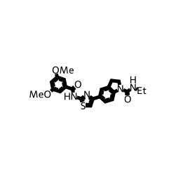 CCNC(=O)N1CCc2cc(-c3csc(NC(=O)c4cc(OC)cc(OC)c4)n3)ccc21